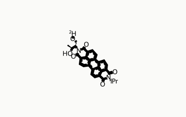 [2H]OC[C@@H]([C@H](C)O)N1C(=O)c2ccc3c4ccc5c6c(ccc(c7ccc(c2c37)C1=O)c64)C(=O)N(C(C)C)C5=O